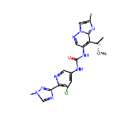 CO[C@@H](C)c1c(NC(=O)Nc2cnc(-c3ncn(C)n3)c(Cl)c2)cnn2cc(C)nc12